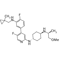 COC[C@H](C)N[C@H]1CC[C@H](Nc2cc(-c3ccc(F)c(NCC4(C)CC4)c3)c(F)cn2)CC1